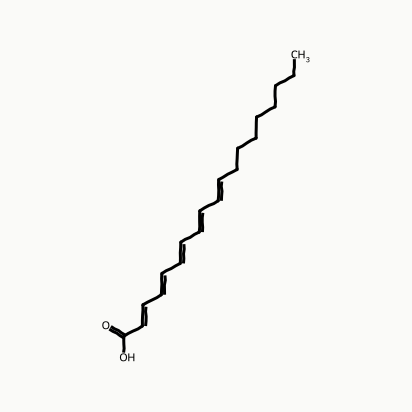 CCCCCCCCC=CC=CC=CC=CC=CC(=O)O